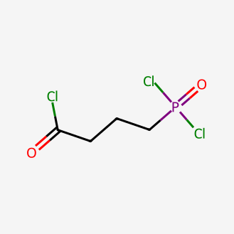 O=C(Cl)CCCP(=O)(Cl)Cl